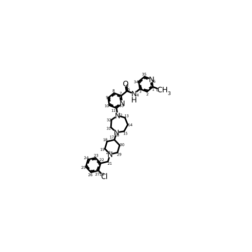 Cc1cc(NC(=O)c2cccc(N3CCCN(C4CCN(Cc5ccccc5Cl)CC4)CC3)n2)ccn1